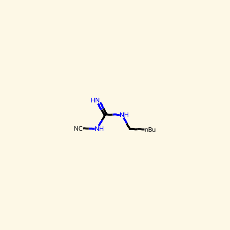 CCCCCNC(=N)NC#N